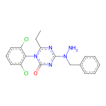 CCc1nc(N(N)Cc2ccccc2)nc(=O)n1-c1c(Cl)cccc1Cl